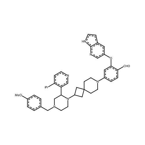 COc1ccc(CN2CCN(C3CC4(CCN(c5ccc(C=O)c(Oc6cnc7[nH]ccc7c6)c5)CC4)C3)C(c3cnccc3C(C)C)C2)cc1